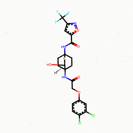 O=C(COc1ccc(Cl)c(Cl)c1)NC12CCC(NC(=O)c3cc(C(F)(F)F)no3)(CC1)C[C@@H]2O